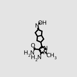 Cn1nc(C2CC3CC(=NO)CC3C2)c(C(N)=O)c1N